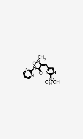 CN1ON(c2ncccn2)C(=O)C1=Cc1cnc([NH+]([O-])O)s1